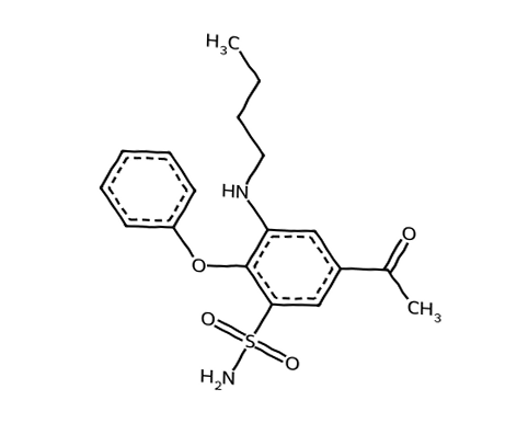 CCCCNc1cc(C(C)=O)cc(S(N)(=O)=O)c1Oc1ccccc1